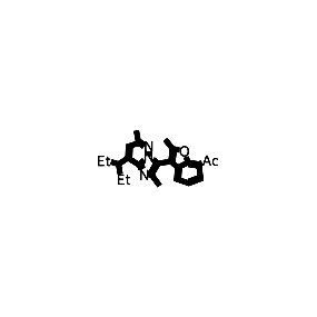 CCC(CC)c1cc(C)nn2c(-c3c(C)oc4c(C(C)=O)cccc34)c(C)nc12